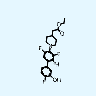 [2H]c1c(-c2ccc(F)c(O)c2)cc(F)c(N2CCC(CC(=O)OCC)CC2)c1F